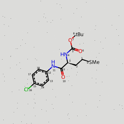 CSCC[C@H](NC(=O)OC(C)(C)C)C(=O)Nc1ccc(Cl)cc1